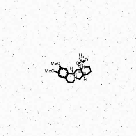 COc1cc2c(cc1OC)[C@@H]1C[C@H]3[C@H](CCCN3S(C)(=O)=O)CN1CC2